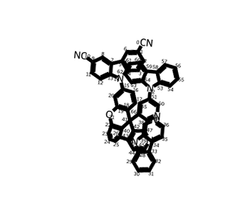 N#Cc1ccc2c(c1)c1cc(C#N)ccc1n2-c1ccc2c(c1)Oc1cccc(-n3c4ccccc4c4ccncc43)c1C21c2cccnc2-c2ncc(-n3c4ccccc4c4ccccc43)cc21